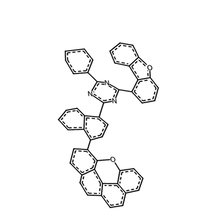 c1ccc(-c2nc(-c3ccc(-c4ccc5ccc6ccc7cccc8c7c6c5c4O8)c4ccccc34)nc(-c3cccc4oc5ccccc5c34)n2)cc1